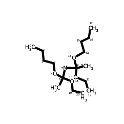 CCCCOC(C)([N]C(C)(OCC)OCCCC)OCC